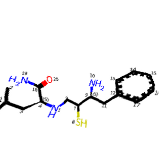 CC(C)C[C@H](NCC(S)[C@@H](N)Cc1ccccc1)C(N)=O